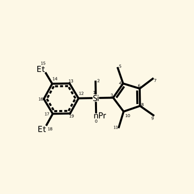 CCC[Si](C)(C1=C(C)C(C)=C(C)C1C)c1cc(CC)cc(CC)c1